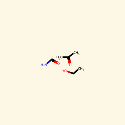 CC(C)=O.CCO.NC=O